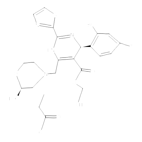 CCOC(=O)C1=C(CN2CCO[C@H](C)[C@H]2CCC(=O)O)NC(c2nccs2)=N[C@H]1c1ccc(F)cc1Br